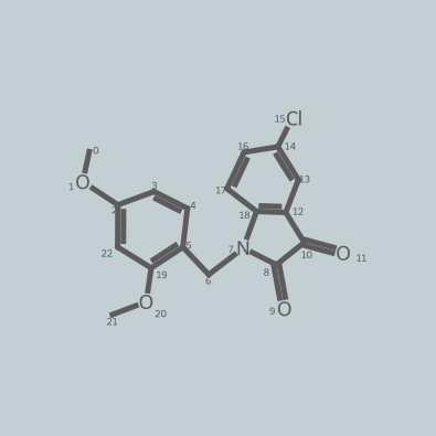 COc1ccc(CN2C(=O)C(=O)c3cc(Cl)ccc32)c(OC)c1